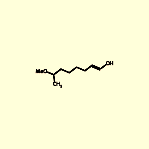 COC(C)CCCC/C=C/O